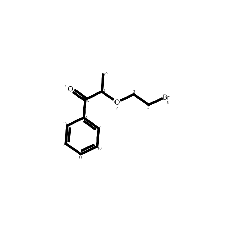 CC(OCCBr)C(=O)c1ccccc1